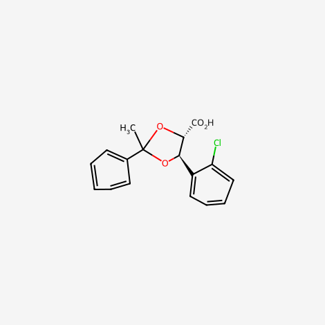 CC1(c2ccccc2)O[C@H](C(=O)O)[C@@H](c2ccccc2Cl)O1